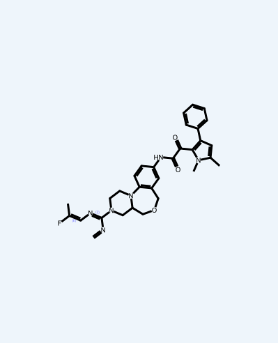 C=N/C(=N\C=C(/C)F)N1CCN2c3ccc(NC(=O)C(=O)c4c(-c5ccccc5)cc(C)n4C)cc3COCC2C1